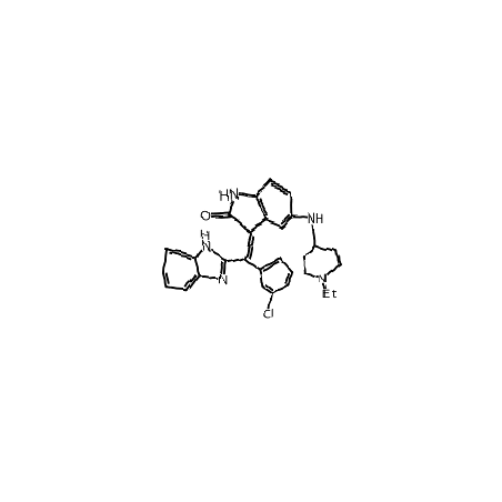 CCN1CCC(Nc2ccc3c(c2)C(=C(c2cccc(Cl)c2)c2nc4ccccc4[nH]2)C(=O)N3)CC1